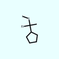 CCC(C)(SI)C1CCCC1